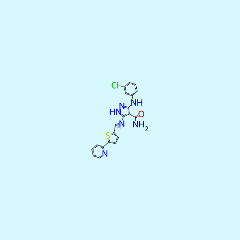 NC(=O)c1c(Nc2cccc(Cl)c2)n[nH]c1/N=C/c1ccc(-c2ccccn2)s1